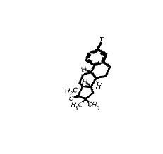 CC1(C)C[C@H]2[C@@H]3CCc4cc(F)ccc4[C@H]3CC[C@]2(C)C1=O